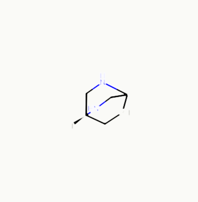 B1C[C@@H]2CNC1CN2